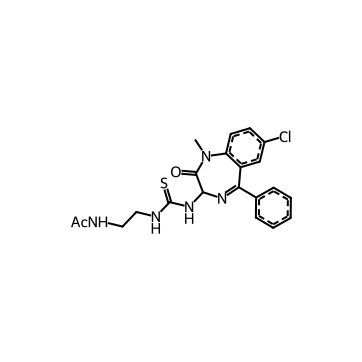 CC(=O)NCCNC(=S)NC1N=C(c2ccccc2)c2cc(Cl)ccc2N(C)C1=O